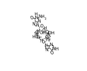 Nc1nc2c(ncn2[C@@H]2O[C@@H]3COP(O)(=S)O[C@H]4[C@@H](F)[C@H](n5cnc6c(=O)[nH]cnc65)O[C@@H]4COP(O)(=S)O[C@@H]2[C@@H]3O)c(=O)[nH]1